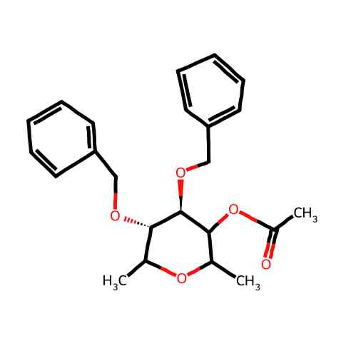 CC(=O)OC1C(C)OC(C)[C@H](OCc2ccccc2)[C@H]1OCc1ccccc1